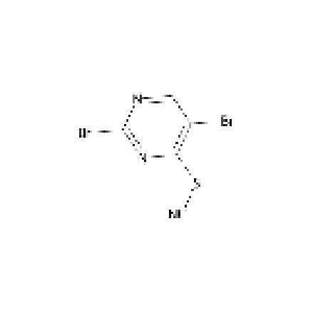 N#CSc1nc(Br)ncc1Br